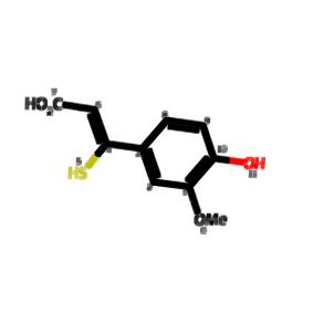 COc1cc(C(S)=CC(=O)O)ccc1O